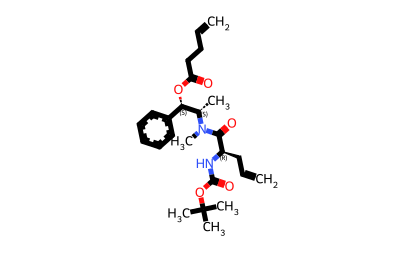 C=CCCC(=O)O[C@@H](c1ccccc1)[C@H](C)N(C)C(=O)[C@@H](CC=C)NC(=O)OC(C)(C)C